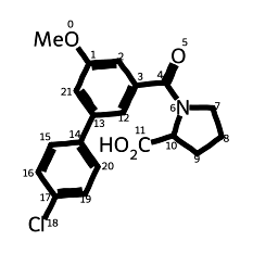 COc1cc(C(=O)N2CCCC2C(=O)O)cc(-c2ccc(Cl)cc2)c1